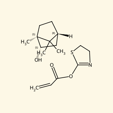 C=CC(=O)OC1=NCCS1.CC1(C)[C@@H]2CC[C@]1(C)[C@@H](O)C2